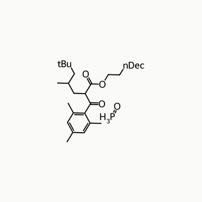 CCCCCCCCCCCCOC(=O)C(CC(C)CC(C)(C)C)C(=O)c1c(C)cc(C)cc1C.O=[PH3]